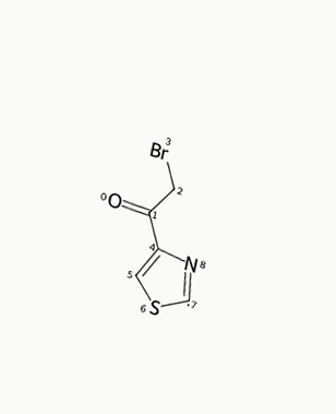 O=C(CBr)c1cs[c]n1